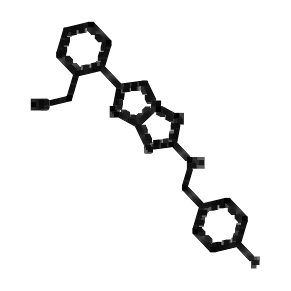 OCc1ccccc1-c1cn2nc(NCc3ccc(F)cc3)sc2n1